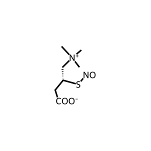 C[N+](C)(C)C[C@@H](CC(=O)[O-])SN=O